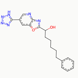 OC(CCCCCc1ccccc1)c1nc2ncc(-c3nnn[nH]3)cc2o1